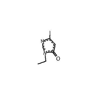 CCn1cnc(I)cc1=O